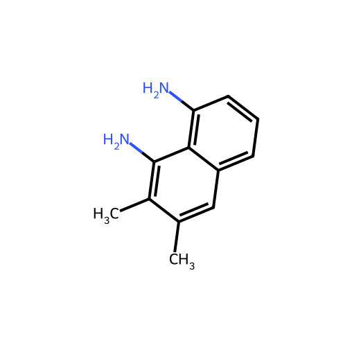 Cc1cc2cccc(N)c2c(N)c1C